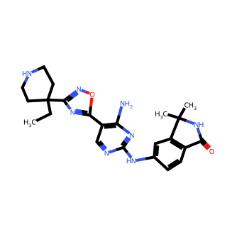 CCC1(c2noc(-c3cnc(Nc4ccc5c(c4)C(C)(C)NC5=O)nc3N)n2)CCNCC1